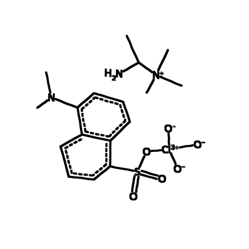 CC(N)[N+](C)(C)C.CN(C)c1cccc2c(S(=O)(=O)O[Cl+3]([O-])([O-])[O-])cccc12